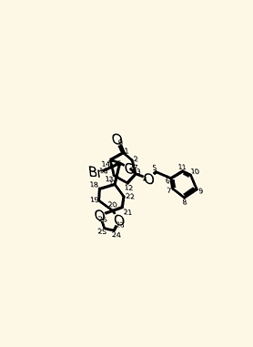 O=C1CC2(OCc3ccccc3)CCC1C(Br)(C1CCC3(CC1)OCCO3)O2